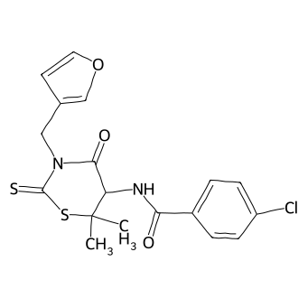 CC1(C)SC(=S)N(Cc2ccoc2)C(=O)C1NC(=O)c1ccc(Cl)cc1